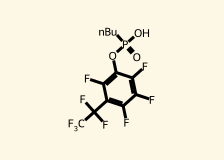 CCCCP(=O)(O)Oc1c(F)c(F)c(F)c(C(F)(F)C(F)(F)F)c1F